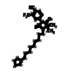 CC1(C)C(=O)N(c2ccc(C#N)c(C(F)(F)F)c2)C(=S)N1CCCCCCCCCN1CCCC1